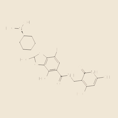 Cc1cc(C)c(CNC(=O)c2cc(F)c3c(c2C)OC(C)([C@H]2CC[C@H](N(C)C)CC2)O3)c(=O)[nH]1